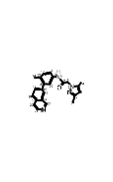 Cc1cc(C)n(CC(=O)Nc2ccc(C)c(-c3ccc4ccncc4c3)c2)n1